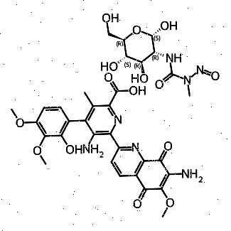 CN(N=O)C(=O)N[C@@H]1[C@@H](O)[C@H](O)[C@@H](CO)O[C@@H]1O.COC1=C(N)C(=O)c2nc(-c3nc(C(=O)O)c(C)c(-c4ccc(OC)c(OC)c4O)c3N)ccc2C1=O